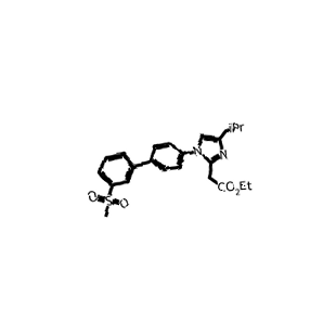 CCOC(=O)Cc1nc(C(C)C)cn1-c1ccc(-c2cccc(S(C)(=O)=O)c2)cc1